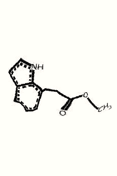 COC(=O)Cc1cccc2cc[nH]c12